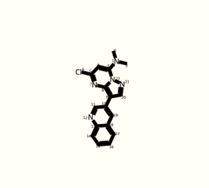 CN(C)c1cc(Cl)nc2c(-c3cnc4ccccc4c3)cnn12